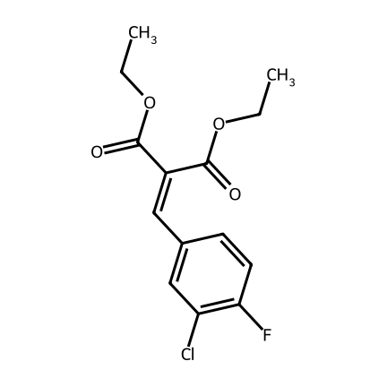 CCOC(=O)C(=Cc1ccc(F)c(Cl)c1)C(=O)OCC